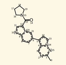 Cc1ncc2c(-c3ccc4ncc(C(=O)N5CCCC5)n4c3)ccn2n1